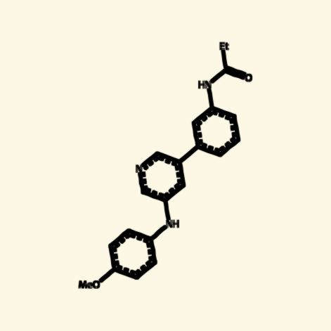 CCC(=O)Nc1cccc(-c2cncc(Nc3ccc(OC)cc3)c2)c1